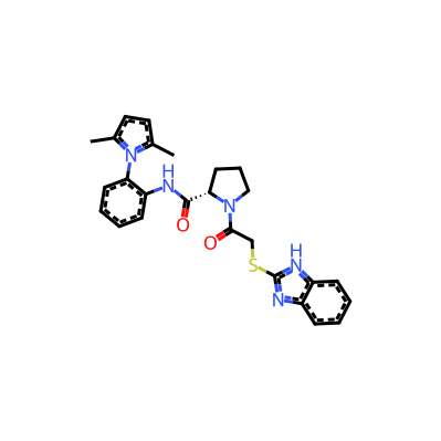 Cc1ccc(C)n1-c1ccccc1NC(=O)[C@@H]1CCCN1C(=O)CSc1nc2ccccc2[nH]1